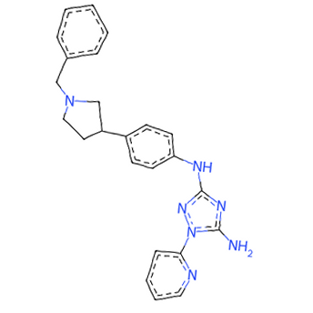 Nc1nc(Nc2ccc(C3CCN(Cc4ccccc4)C3)cc2)nn1-c1ccccn1